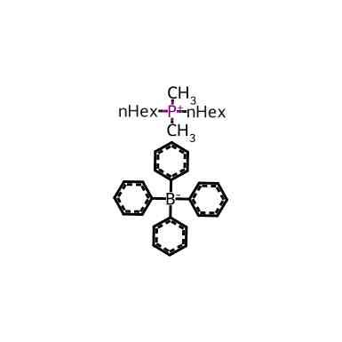 CCCCCC[P+](C)(C)CCCCCC.c1ccc([B-](c2ccccc2)(c2ccccc2)c2ccccc2)cc1